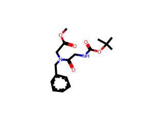 COC(=O)CN(Cc1ccccc1)C(=O)CNC(=O)OC(C)(C)C